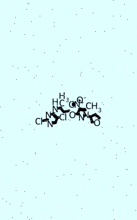 Cc1c([N+](=O)[O-])c(OCCC(C)Nc2nc(Cl)ncc2Cl)nn1C1CCOC1